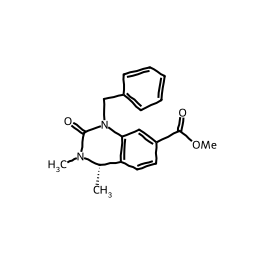 COC(=O)c1ccc2c(c1)N(Cc1ccccc1)C(=O)N(C)[C@H]2C